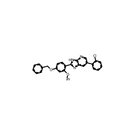 CC(C)Oc1cc(OCc2ccccc2)ccc1-c1nc2cc(-c3ccccc3Cl)cnc2[nH]1